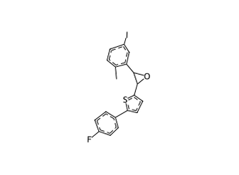 Cc1ccc(I)cc1C1OC1c1ccc(-c2ccc(F)cc2)s1